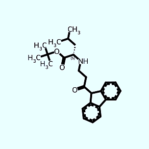 CC(C)C[C@H](NCCC(=O)C1c2ccccc2-c2ccccc21)C(=O)OC(C)(C)C